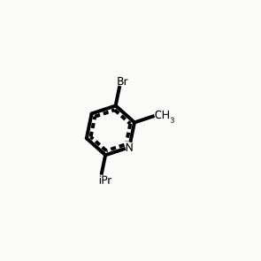 Cc1nc(C(C)C)ccc1Br